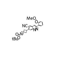 COCOc1ccccc1-c1cc2cc(C#N)c(C3CC4(C3)CN(C(=O)OC(C)(C)C)C4)cc2nn1